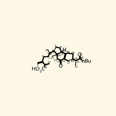 C=C(CC[C@@H](C)[C@H]1CC[C@H]2C3=C(C[C@H]([C@H](C)C(=O)CCCC)CC3)C(=O)C[C@]12C)C(C)C(=O)O